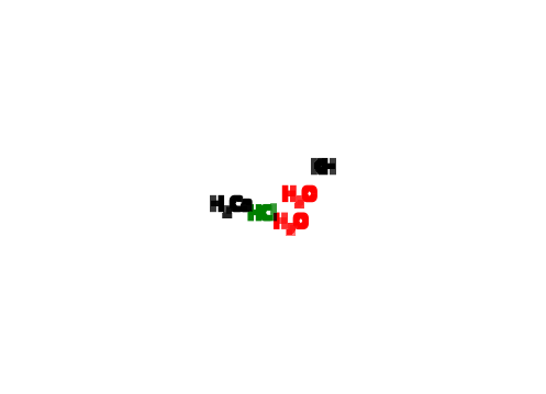 Cl.O.O.[CaH2].[KH]